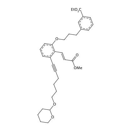 CCOC(=O)c1cccc(CCCOc2cccc(C#CCCCCOC3CCCCO3)c2C=CC(=O)OC)c1